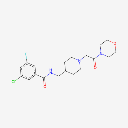 O=C(NCC1CCN(CC(=O)N2CCOCC2)CC1)c1cc(F)cc(Cl)c1